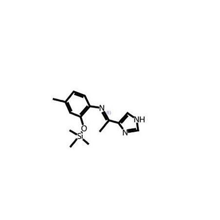 C/C(=N\c1ccc(C)cc1O[Si](C)(C)C)c1c[nH]cn1